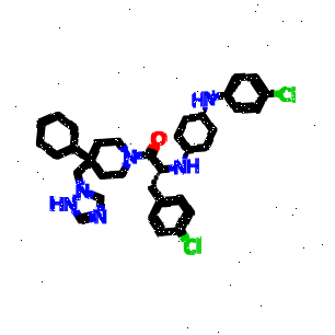 O=C([C@@H](Cc1ccc(Cl)cc1)N[C@H]1CC[C@@H](Nc2ccc(Cl)cc2)CC1)N1CCC(CN2CN=CN2)(C2CCCCC2)CC1